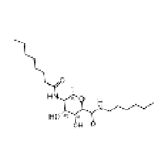 CCCCCCCC(=O)NC1[C@H](C)OC(C(=O)NCCCCCC)[C@@H](O)[C@@H]1O